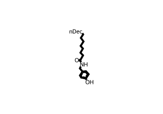 CCCCCCCCCCCCCCCCCC(=O)NCc1ccc(O)cc1